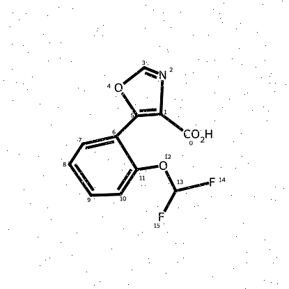 O=C(O)c1ncoc1-c1ccccc1OC(F)F